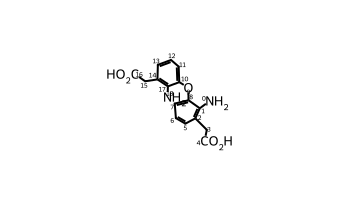 Nc1c(CC(=O)O)cccc1Oc1cccc(CC(=O)O)c1N